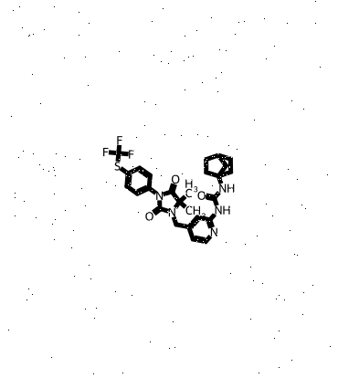 CC1(C)C(=O)N(c2ccc(SC(F)(F)F)cc2)C(=O)N1Cc1ccnc(NC(=O)NC23CCC(CC2)C3)c1